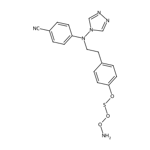 N#Cc1ccc(N(CCc2ccc(OSOON)cc2)n2cnnc2)cc1